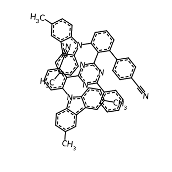 Cc1ccc2c(c1)c1cc(C)ccc1n2-c1cccc(C#N)c1-c1nc(-c2ccccc2)nc(-c2c(-c3ccc(C#N)cc3)cccc2-n2c3ccc(C)cc3c3cc(C)ccc32)n1